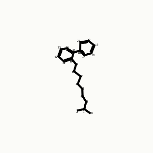 CC(C)CCCCCCCc1ccccc1-c1ccccc1